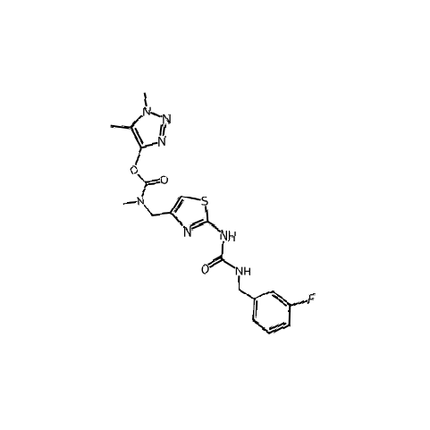 Cc1c(OC(=O)N(C)Cc2csc(NC(=O)NCc3cccc(F)c3)n2)nnn1C